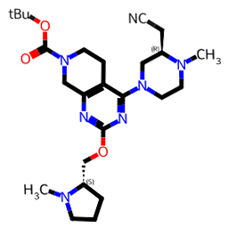 CN1CCN(c2nc(OC[C@@H]3CCCN3C)nc3c2CCN(C(=O)OC(C)(C)C)C3)C[C@H]1CC#N